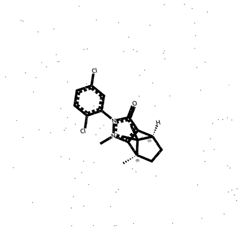 Cn1c2c(c(=O)n1-c1cc(Cl)ccc1Cl)[C@H]1CC[C@]2(C)C1(C)C